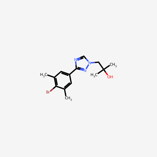 Cc1cc(-c2ncn(CC(C)(C)O)n2)cc(C)c1Br